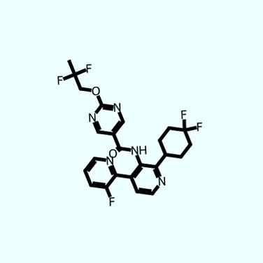 CC(F)(F)COc1ncc(C(=O)Nc2c(-c3ncccc3F)ccnc2C2CCC(F)(F)CC2)cn1